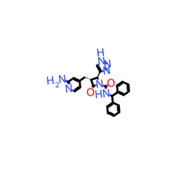 Nc1cc(C[C@H]2C(=O)N(C(=O)NC(c3ccccc3)c3ccccc3)[C@@H]2c2c[nH]nn2)ccn1